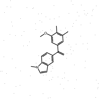 C=C(c1cc(C)c(C)c(OC)c1)c1ccc2c(ccn2C)c1